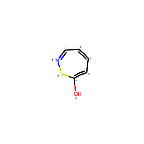 OC1=CC=CC=NS1